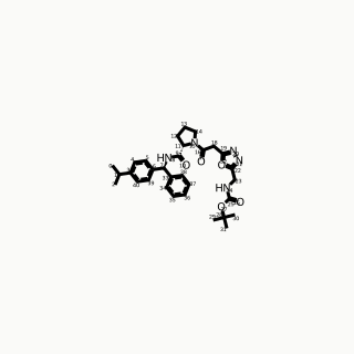 CC(C)c1ccc([C@@H](NC(=O)[C@@H]2CCCN2C(=O)Cc2nnc(CNC(=O)OC(C)(C)C)o2)c2ccccc2)cc1